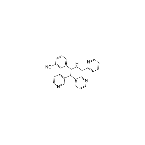 N#Cc1cccc(C(NCc2ccccn2)C(c2cccnc2)c2cccnc2)c1